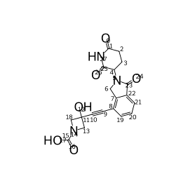 O=C1CCC(N2Cc3c(C#CC4(O)CN(C(=O)O)C4)cccc3C2=O)C(=O)N1